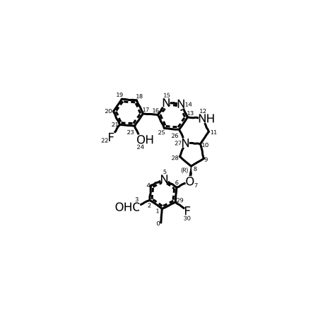 Cc1c(C=O)cnc(O[C@@H]2CC3CNc4nnc(-c5cccc(F)c5O)cc4N3C2)c1F